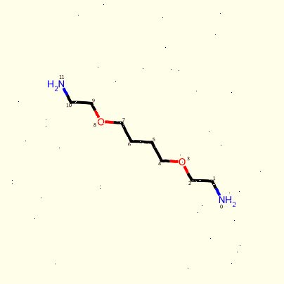 NCCOCCCCOCCN